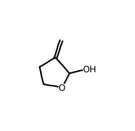 C=C1CCOC1O